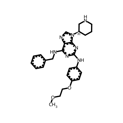 COCCOc1ccc(Nc2nc(NCc3ccccc3)c3ncn([C@@H]4CCCNC4)c3n2)cc1